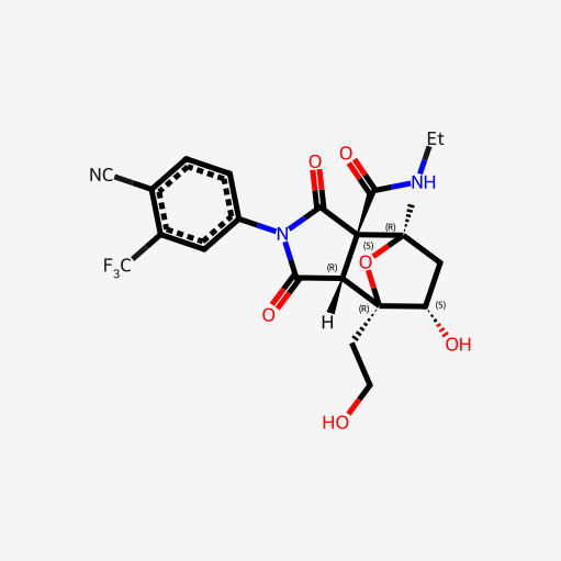 CCNC(=O)[C@]12C(=O)N(c3ccc(C#N)c(C(F)(F)F)c3)C(=O)[C@H]1[C@@]1(CCO)O[C@]2(C)C[C@@H]1O